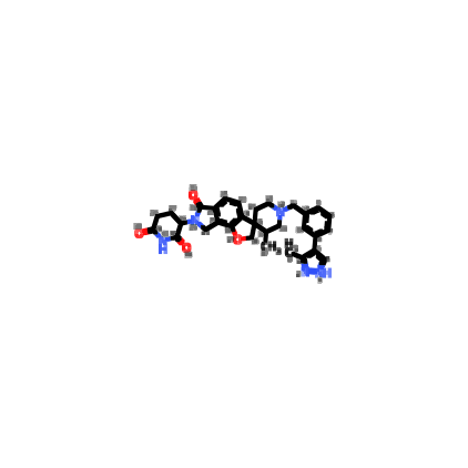 Cc1n[nH]cc1-c1cccc(CN2CCC3(COc4c3ccc3c4CN(C4CCC(=O)NC4=O)C3=O)C(C)C2)c1